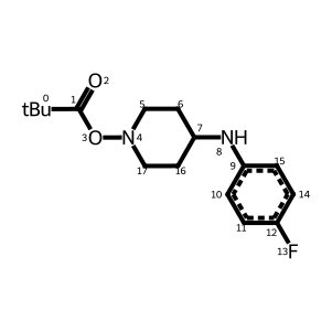 CC(C)(C)C(=O)ON1CCC(Nc2ccc(F)cc2)CC1